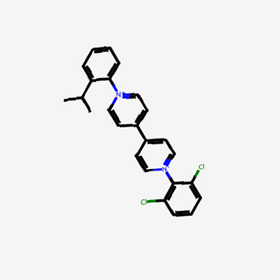 CC(C)c1ccccc1-[n+]1ccc(-c2cc[n+](-c3c(Cl)cccc3Cl)cc2)cc1